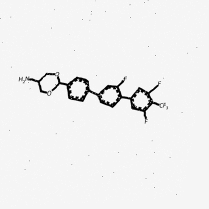 NC1COC(c2ccc(-c3ccc(-c4cc(F)c(C(F)(F)F)c(F)c4)c(F)c3)cc2)OC1